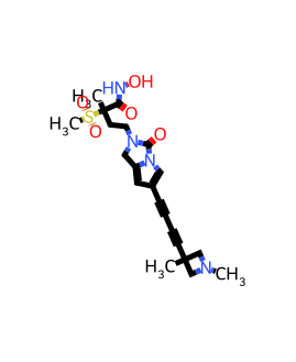 CN1CC(C)(C#CC#Cc2cc3n(c2)C(=O)N(CCC(C)(C(=O)NO)S(C)(=O)=O)C3)C1